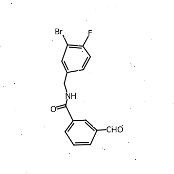 O=Cc1cccc(C(=O)NCc2ccc(F)c(Br)c2)c1